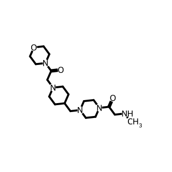 CNCC(=O)N1CCN(CC2CCN(CC(=O)N3CCOCC3)CC2)CC1